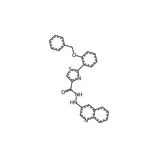 O=C(NNc1cnc2ccccc2c1)c1csc(-c2ccccc2OCc2ccccc2)n1